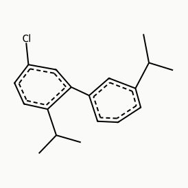 CC(C)c1cccc(-c2cc(Cl)ccc2C(C)C)c1